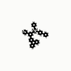 c1ccc(-c2ccc(-c3nc(-c4ccccc4)nc(-c4cc(-c5ccncc5)cc(-c5ccc6c7ccccc7c7ccccc7c6c5)c4)n3)cc2)cc1